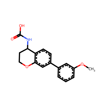 COc1cccc(-c2ccc3c(c2)OCCC3NC(=O)O)c1